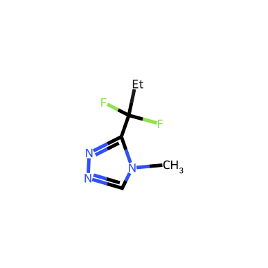 CCC(F)(F)c1nncn1C